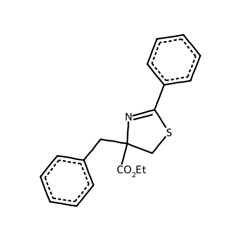 CCOC(=O)C1(Cc2ccccc2)CSC(c2ccccc2)=N1